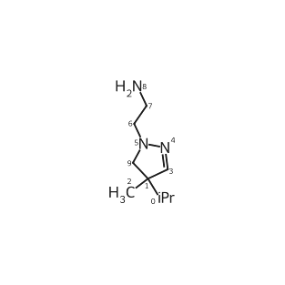 CC(C)C1(C)C=NN(CCN)C1